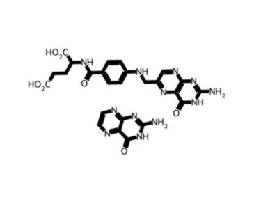 Nc1nc2ncc(CNc3ccc(C(=O)NC(CCC(=O)O)C(=O)O)cc3)nc2c(=O)[nH]1.Nc1nc2nccnc2c(=O)[nH]1